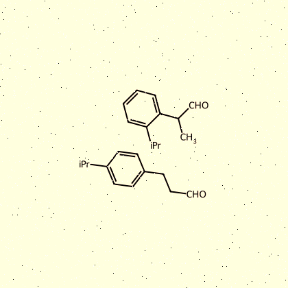 CC(C)c1ccc(CCC=O)cc1.CC(C)c1ccccc1C(C)C=O